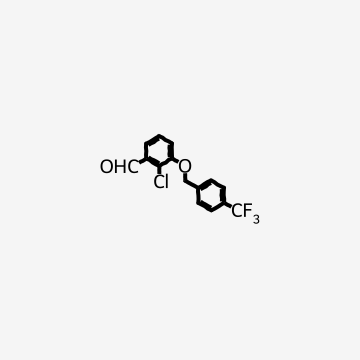 O=Cc1cccc(OCc2ccc(C(F)(F)F)cc2)c1Cl